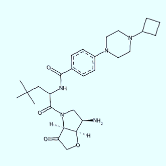 CC(C)(C)CC(NC(=O)c1ccc(N2CCN(C3CCC3)CC2)cc1)C(=O)N1C[C@@H](N)[C@H]2OCC(=O)[C@H]21